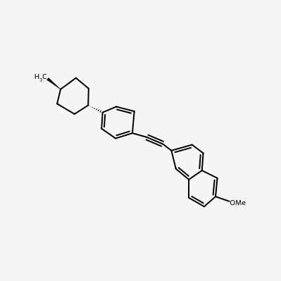 COc1ccc2cc(C#Cc3ccc([C@H]4CC[C@H](C)CC4)cc3)ccc2c1